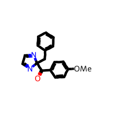 COc1ccc(C(=O)C2(Cc3ccccc3)N=CC=N2)cc1